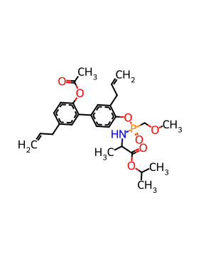 C=CCc1ccc(OC(C)=O)c(-c2ccc(OP(=O)(COC)NC(C)C(=O)OC(C)C)c(CC=C)c2)c1